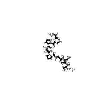 CC(C)C[C@H](NC(=O)[C@H](C)N)C(=O)N1CCC[C@H]1C(=O)N[C@@H](C)C(=O)N1CCC[C@H]1C(=O)NCC(=O)N[C@H](C(=O)N[C@H](CC(C)C)C(=O)O)[C@@H](C)O